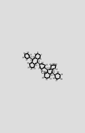 N#Cc1cc(-c2c3ccccc3c(-c3ccccc3)c3ccccc23)ccc1-c1c2ccccc2c(-c2ccccc2)c2ccccc12